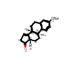 COc1ccc2c(c1)CC[C@H]1C3=CCC(=O)[C@H]3CC[C@H]21